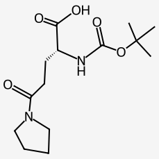 CC(C)(C)OC(=O)N[C@H](CCC(=O)N1CCCC1)C(=O)O